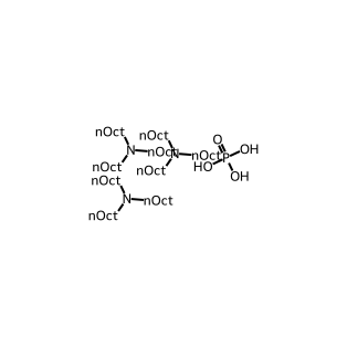 CCCCCCCCN(CCCCCCCC)CCCCCCCC.CCCCCCCCN(CCCCCCCC)CCCCCCCC.CCCCCCCCN(CCCCCCCC)CCCCCCCC.O=P(O)(O)O